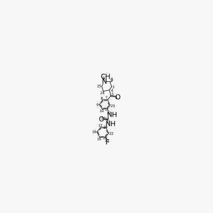 CN1CCC(C(=O)c2cccc(NC(=O)Nc3cccc(F)c3)c2)CC1